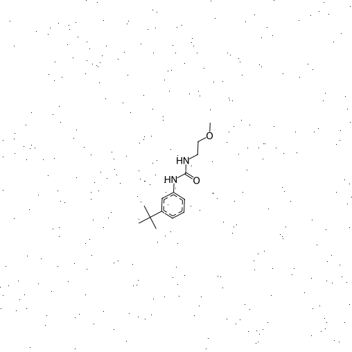 COCCNC(=O)Nc1cccc(C(C)(C)C)c1